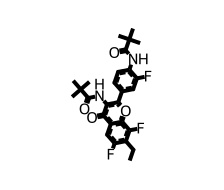 CCc1c(F)cc2c(=O)c(NC(=O)C(C)(C)C)c(-c3ccc(NC(=O)C(C)(C)C)c(F)c3)oc2c1F